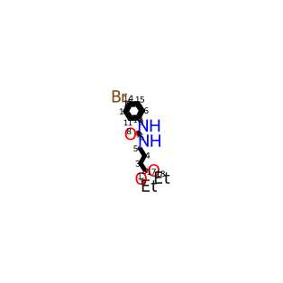 CCOC(CCCNC(=O)Nc1ccc(Br)cc1)OCC